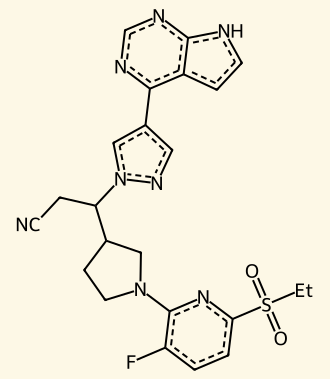 CCS(=O)(=O)c1ccc(F)c(N2CCC(C(CC#N)n3cc(-c4ncnc5[nH]ccc45)cn3)C2)n1